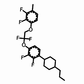 CCCC1CCC(c2ccc(OC(F)(F)COc3ccc(C)c(F)c3F)c(F)c2F)CC1